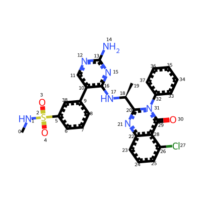 CNS(=O)(=O)c1cccc(-c2cnc(N)nc2N[C@@H](C)c2nc3cccc(Cl)c3c(=O)n2-c2ccccc2)c1